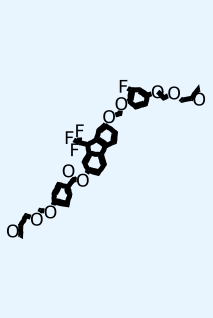 O=C(Oc1ccc2c(c1)C(C(F)(F)F)c1cc(OCOc3ccc(OCOCC4CO4)cc3F)ccc1-2)c1ccc(OCOCC2CO2)cc1